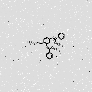 COCCc1ccc(/N=C(\OC)c2ccccc2)cc1/N=C(\OC)c1ccccc1